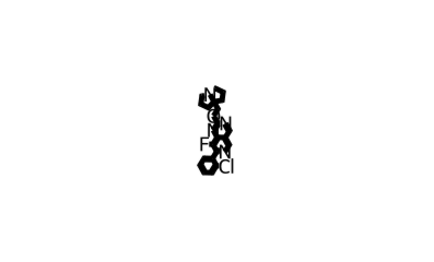 Fc1c(-c2ccccc2Cl)ncc2cnc(OCC34CCCN3CCC4)nc12